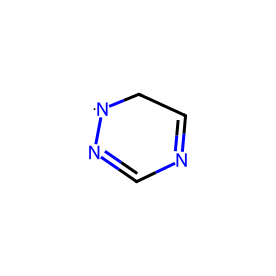 C1=NC=N[N]C1